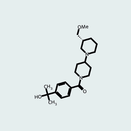 COC[C@@H]1CCCN(C2CCN(C(=O)c3ccc(C(C)(C)O)cc3)CC2)C1